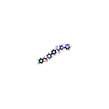 O=C(Nc1ccc(C2CCN(C(=O)Cc3ccc(F)cc3)CC2)cc1)[C@H]1CCN(c2cccnn2)C1